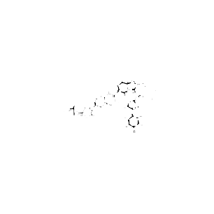 CCc1nc2ccc(C3CCN(CC(=O)N4CCC(NC(C)=O)C4)CC3)cn2c1N(C)c1nc(-c2ccc(F)cc2)cs1